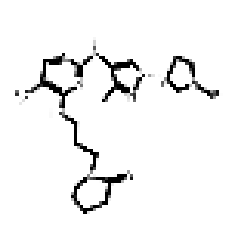 Cc1nn([C@@H]2CCN(C(C)C)C2)cc1Nc1ncc(C(F)(F)F)c(NCCCN2CCCCC2=O)n1